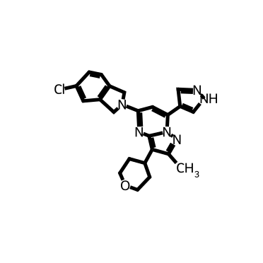 Cc1nn2c(-c3cn[nH]c3)cc(N3Cc4ccc(Cl)cc4C3)nc2c1C1CCOCC1